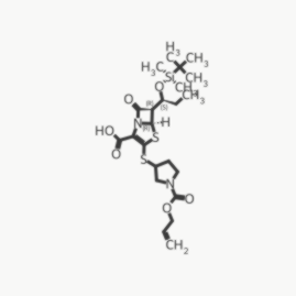 C=CCOC(=O)N1CCC(SC2=C(C(=O)O)N3C(=O)[C@@H]([C@H](CC)O[Si](C)(C)C(C)(C)C)[C@H]3S2)C1